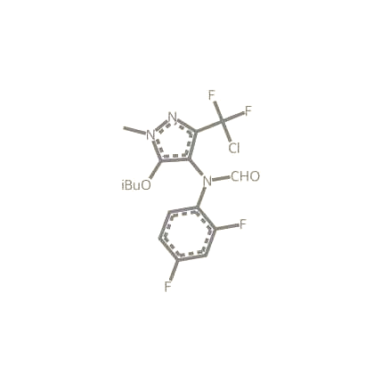 CC(C)COc1c(N(C=O)c2ccc(F)cc2F)c(C(F)(F)Cl)nn1C